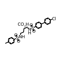 Cc1ccc(S(=O)(=O)NCCC[C@@H](NS(=O)(=O)c2ccc(-c3ccc(Cl)cc3)cc2)C(=O)O)cc1